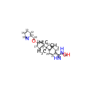 CC(C)C(C)(c1ccc(OCc2ccccn2)cc1)c1ccc(C(=N)NO)cc1